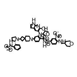 CS(=O)(=O)Nc1ccccc1[C@@H]1CCCN1C1CC2(CCN(c3ccc(C(=O)NS(=O)(=O)c4ccc(NCC5CCOCC5)c([N+](=O)[O-])c4)c(N4c5cc6cc[nH]c6nc5O[C@@H]5COC[C@H]54)c3)CC2)C1